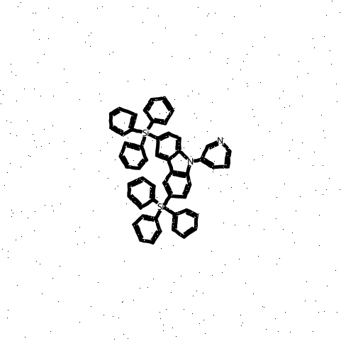 c1ccc([Si](c2ccccc2)(c2ccccc2)c2ccc3c(c2)c2cc([Si](c4ccccc4)(c4ccccc4)c4ccccc4)ccc2n3-c2cccnc2)cc1